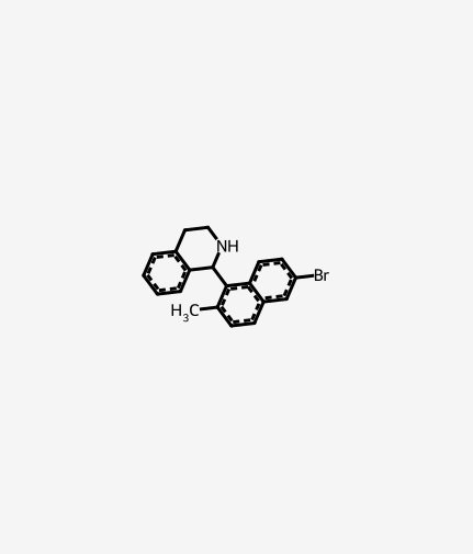 Cc1ccc2cc(Br)ccc2c1C1NCCc2ccccc21